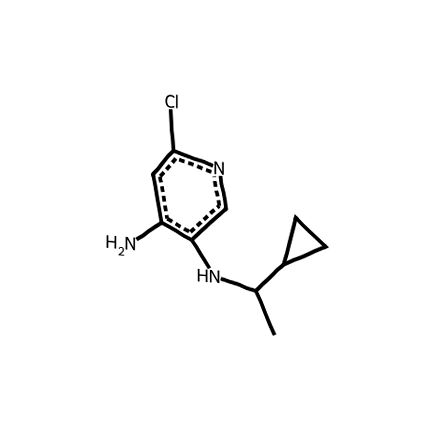 CC(Nc1cnc(Cl)cc1N)C1CC1